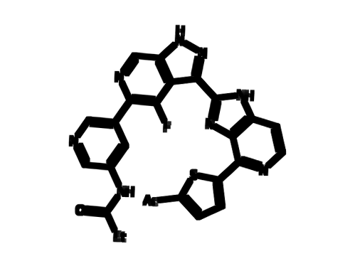 CCC(=O)Nc1cncc(-c2ncc3[nH]nc(-c4nc5c(-c6ccc(C(C)=O)s6)nccc5[nH]4)c3c2F)c1